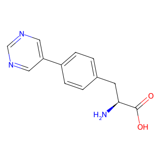 N[C@@H](Cc1ccc(-c2cncnc2)cc1)C(=O)O